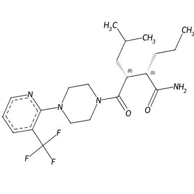 CCC[C@H](C(N)=O)[C@@H](CC(C)C)C(=O)N1CCN(c2ncccc2C(F)(F)F)CC1